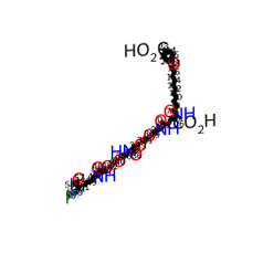 O=C(CC[C@H](NC(=O)CCCCCCCCCCOc1ccc(C(=O)O)cc1)C(=O)O)NCCOCCOCC(=O)NCCOCCOCC(=O)NCCCC[C@H](/C=C/F)C(=O)I